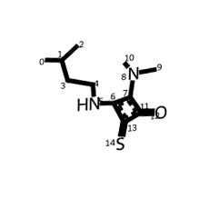 CC(C)CCNc1c(N(C)C)c(=O)c1=S